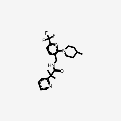 CC1CCN(c2nc(C(F)(F)F)ccc2CNC(=O)C(C)(C)c2ccccn2)CC1